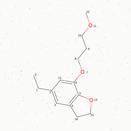 CCc1cc2c(c(OCCCOC)c1)OCC2